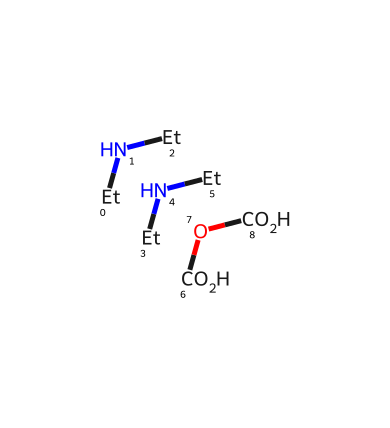 CCNCC.CCNCC.O=C(O)OC(=O)O